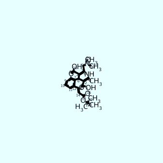 CC1=C(C(=O)O)C(c2ccccc2C=CC(=O)OC(C)(C)C)C(C(=O)O)=C(CN(C)C)N1